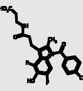 Cc1c(CCC(=O)NCCC(=O)O)c2c(F)c(O)c(F)cc2n1C(=O)c1ccc(Cl)cc1